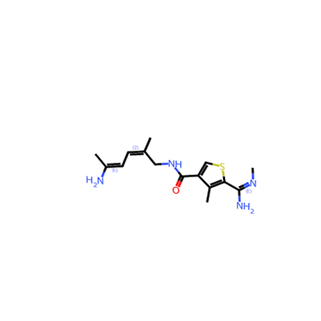 C/N=C(/N)c1scc(C(=O)NC/C(C)=C\C=C(/C)N)c1C